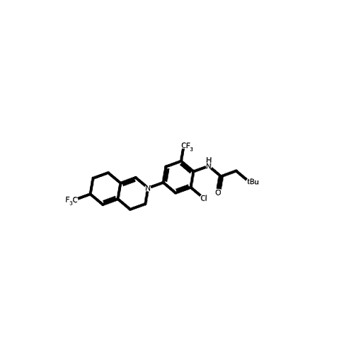 CC(C)(C)CC(=O)Nc1c(Cl)cc(N2C=C3CCC(C(F)(F)F)C=C3CC2)cc1C(F)(F)F